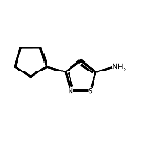 Nc1cc(C2CCCC2)ns1